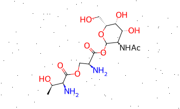 CC(=O)N[C@H]1C(OC(=O)[C@@H](N)COC(=O)[C@@H](N)[C@@H](C)O)O[C@H](CO)[C@H](O)[C@@H]1O